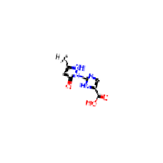 Cc1cc(=O)n(-c2ncc(C(=O)O)[nH]2)[nH]1